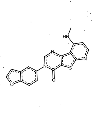 CNc1ccnc2sc3c(=O)n(-c4ccc5occc5c4)cnc3c12